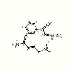 CN(C)CC=CC(N)=O.[N-]=[N+]=NC(=O)c1ccccc1